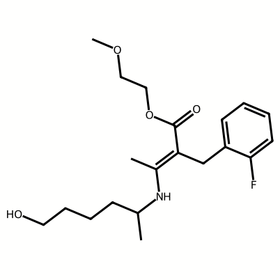 COCCOC(=O)/C(Cc1ccccc1F)=C(\C)NC(C)CCCCO